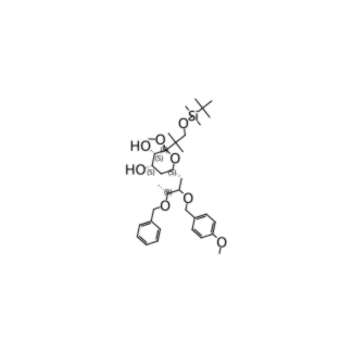 COc1ccc(COC(C[C@@H]2C[C@H](O)[C@H](O)[C@](OC)(C(C)(C)CO[Si](C)(C)C(C)(C)C)O2)[C@@H](C)OCc2ccccc2)cc1